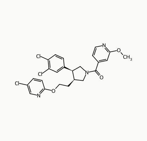 COc1cc(C(=O)N2C[C@@H](CCOc3ccc(Cl)cn3)[C@@H](c3ccc(Cl)c(Cl)c3)C2)ccn1